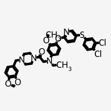 CCN(CC(=O)N1CCN(Cc2ccc3c(c2)OCO3)CC1)c1ccc(Oc2ccc(Sc3ccc(Cl)c(Cl)c3)cn2)c(OC)c1